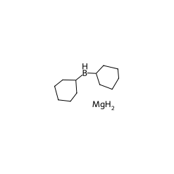 B(C1CCCCC1)C1CCCCC1.[MgH2]